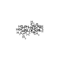 CCC1CCC[C@@H](O[C@@H]2O[C@@H](C)[C@H](O)C(O[C@@H](CC3CCCCC3)C(=O)O)C2NC(C)=O)[C@@H]1OC1O[C@@H](C)[C@H](O)C(O)[C@@H]1O